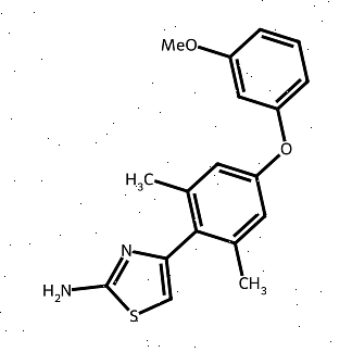 COc1cccc(Oc2cc(C)c(-c3csc(N)n3)c(C)c2)c1